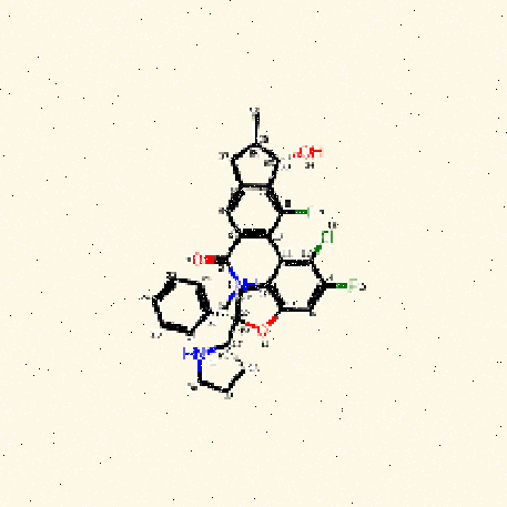 CNC(=O)c1cc2c(c(F)c1-c1c(Cl)c(F)cc3c1C[C@](c1ccccc1)([C@@H]1CCCN1)O3)[C@@H](O)[C@H](C)C2